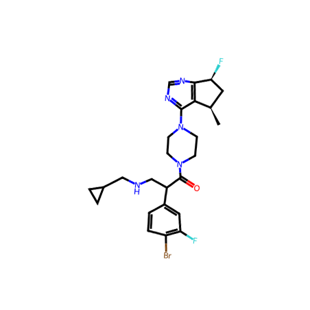 C[C@@H]1C[C@H](F)c2ncnc(N3CCN(C(=O)C(CNCC4CC4)c4ccc(Br)c(F)c4)CC3)c21